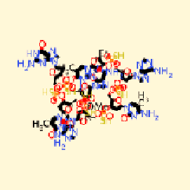 CC[C@H]1O[C@@H](n2cc(C)c(=O)[nH]c2=O)CC1OP(=O)(S)OC[C@H]1O[C@@H](n2cnc3c(N)ncnc32)CC1OP(=O)(S)OC[C@H]1O[C@@H](n2cc(C)c(N)nc2=O)CC1OP(=O)(S)OC[C@H]1O[C@@H](n2cnc3c(N)ncnc32)CC1OP(=O)(S)OC[C@H]1O[C@@H](n2cc(C)c(=O)[nH]c2=O)CC1OP(=O)(S)OC[C@H]1O[C@@H](n2cnc3c(=O)[nH]c(N)nc32)CC1OP(=O)(S)OC[C@H]1O[C@@H](n2cnc3c(N)ncnc32)CC1OP(=O)(S)OC